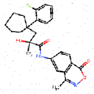 Cc1noc(=O)c2ccc(NC(=O)C(O)(CC3(c4ccccc4F)CCCCC3)C(F)(F)F)cc12